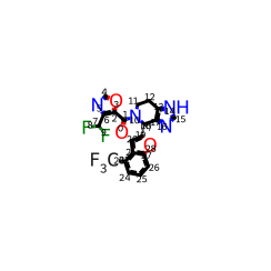 O=C(c1ocnc1C(F)F)N1CCc2[nH]cnc2[C@@H]1c1cc2c(C(F)(F)F)cccc2o1